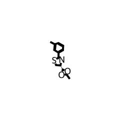 Cc1cccc(C2=N[C@H](C3OC(C)O3)CS2)c1